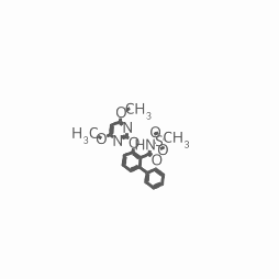 COc1cc(OC)nc(Oc2cccc(-c3ccccc3)c2C(=O)NS(C)(=O)=O)n1